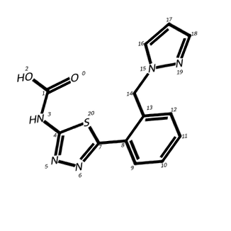 O=C(O)Nc1nnc(-c2ccccc2Cn2cccn2)s1